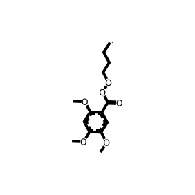 [CH2]CCCOOC(=O)c1cc(OC)c(OC)cc1OC